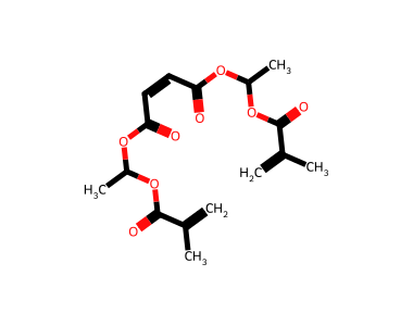 C=C(C)C(=O)OC(C)OC(=O)/C=C\C(=O)OC(C)OC(=O)C(=C)C